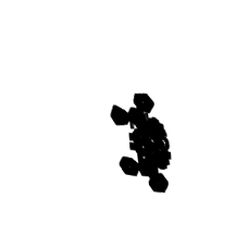 Cc1cc2c3c4c5c(cc(C)c14)B(c1nc(-c4ccccc4)cc(-c4ccccc4)n1)C1=C(N5C(=O)N3C3=C(B2c2nc(-c4ccccc4)cc(-c4ccccc4)n2)C(C)(C)CC3(C)C)C(C)(C)CC1(C)C